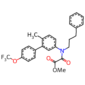 COC(=O)C(=O)N(CCCc1ccccc1)c1ccc(C)c(-c2ccc(OC(F)(F)F)cc2)c1